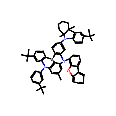 Cc1cc2c3c(c1)N(c1cccc4c1oc1ccccc14)c1cc(N4c5ccc(C(C)(C)C)cc5C5(C)CCCCC45C)ccc1B3c1ccc(C(C)(C)C)cc1N2c1cccc(C(C)(C)C)c1